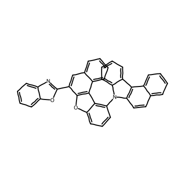 c1ccc2c(c1)cc(-c1nc3ccccc3o1)c1oc3cccc(-n4c5ccccc5c5c6ccccc6ccc54)c3c12